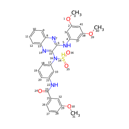 COc1cc(Nc2nc3ccccc3nc2N(c2cccc(NC(=O)c3cccc(OC)c3)c2)[SH](=O)=O)cc(OC)c1